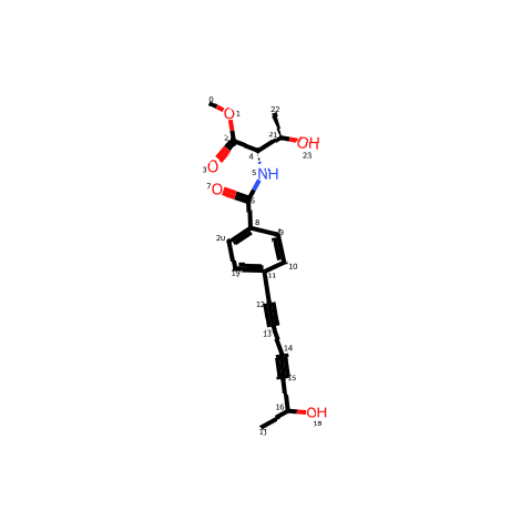 COC(=O)[C@@H](NC(=O)c1ccc(C#CC#CC(C)O)cc1)[C@@H](C)O